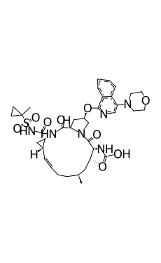 C[C@H]1CCC=C[C@@H]2C[C@@]2(C(=O)NS(=O)(=O)C2(C)CC2)NC(=O)[C@@H]2C[C@@H](Oc3ncc(N4CCOCC4)c4ccccc34)CN2C(=O)[C@@H](NC(=O)O)[C@H](C)C1